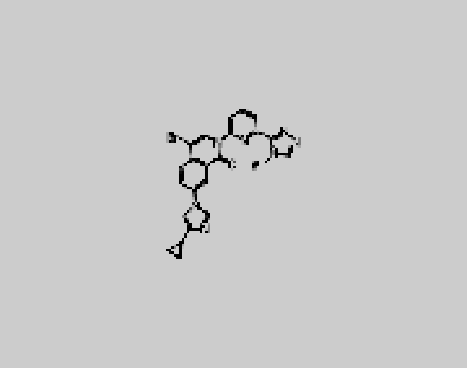 CC(C)n1cnnc1-c1cccc(-n2cc(Br)c3ccc(-n4cnc(C5CC5)c4)cc3c2=O)n1